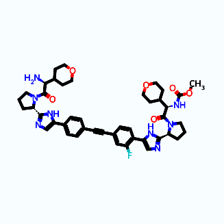 COC(=O)N[C@H](C(=O)N1CCC[C@H]1c1ncc(-c2ccc(C#Cc3ccc(-c4cnc([C@@H]5CCCN5C(=O)[C@@H](N)C5CCOCC5)[nH]4)cc3)cc2F)[nH]1)C1CCOCC1